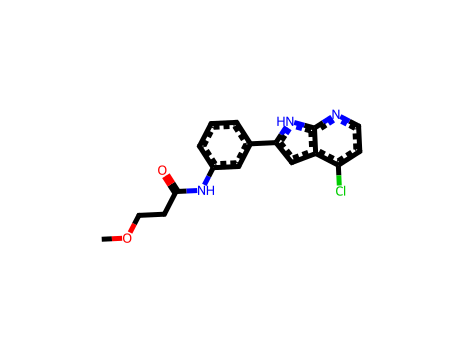 COCCC(=O)Nc1cccc(-c2cc3c(Cl)ccnc3[nH]2)c1